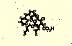 C=C/C=C/COC(=O)N(CC=C)C(CC(=O)O)C(=O)CON1CCC(Cc2ccccc2)C1=O